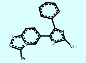 Cc1nc(-c2ccccc2)c(-c2ccc3nnc(C(C)C)n3c2)o1